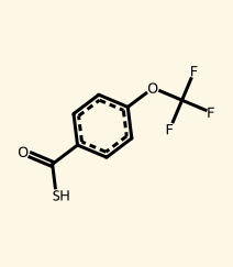 O=C(S)c1ccc(OC(F)(F)F)cc1